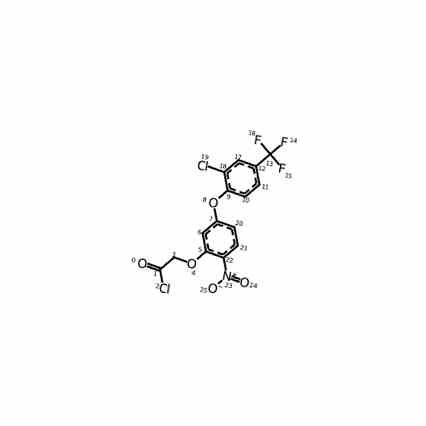 O=C(Cl)COc1cc(Oc2ccc(C(F)(F)F)cc2Cl)ccc1[N+](=O)[O-]